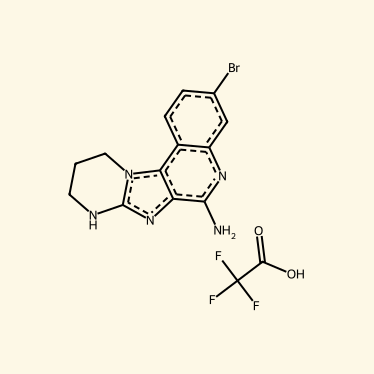 Nc1nc2cc(Br)ccc2c2c1nc1n2CCCN1.O=C(O)C(F)(F)F